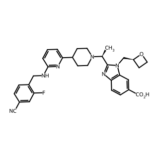 C[C@@H](c1nc2ccc(C(=O)O)cc2n1C[C@@H]1CCO1)N1CCC(c2cccc(NCc3ccc(C#N)cc3F)n2)CC1